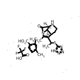 CC1=C(C(C)Sc2nnn[nH]2)C2CCN[C@@H]3C(=O)N1[C@H]23.Cc1ccc(C(=O)O)c(C)c1.O=C(O)C(F)(F)F